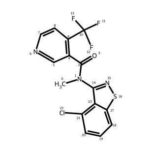 CN(C(=O)c1cnccc1C(F)(F)F)c1nsc2cccc(Cl)c12